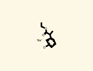 CCOC(=O)C(C)c1cccc([O-])c1.[Na+]